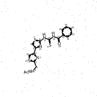 CC(=O)NCc1nc(-c2csc(NC(=S)NC(=O)c3ccccc3)n2)cs1